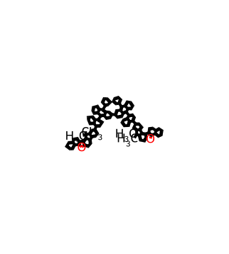 CC1(C)c2cc(-c3ccc(-c4c5ccccc5c(-c5ccccc5)c5cc(-c6ccc7c(-c8ccc(-c9ccc%10c(c9)C(C)(C)c9c-%10ccc%10oc%11c%12ccccc%12ccc%11c9%10)c9ccccc89)c8ccccc8c(-c8ccccc8)c7c6)ccc45)c4ccccc34)ccc2-c2c1ccc1oc3c4ccccc4ccc3c21